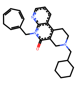 O=c1c2c(c3cccnc3n1CC1=CCC=CC=C1)CCN(CC1CCCCC1)C2